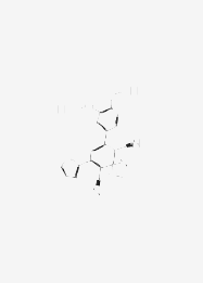 COc1ccc(C2=CC(c3cccs3)=C(C#N)C(N)(OC)C2C#N)cc1OC